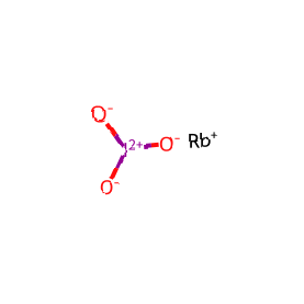 [O-][I+2]([O-])[O-].[Rb+]